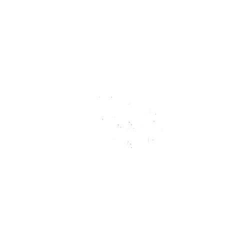 COC(C)(C)C(=O)C(=Cc1ccc(C)cc1)n1cncn1